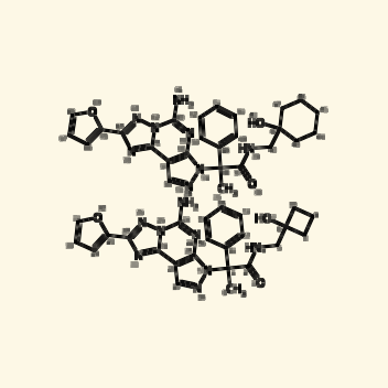 CC(C(=O)NCC1(O)CCC1)(c1ccccc1)n1ncc2c1nc(N)n1nc(-c3ccco3)nc21.CC(C(=O)NCC1(O)CCCCC1)(c1ccccc1)n1ncc2c1nc(N)n1nc(-c3ccco3)nc21